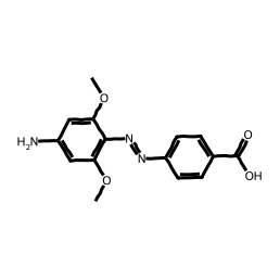 COc1cc(N)cc(OC)c1/N=N/c1ccc(C(=O)O)cc1